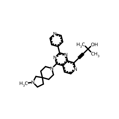 CN1CCC2(CCN(c3nc(-c4ccncc4)nc4c(C#CC(C)(C)O)nccc34)CC2)C1